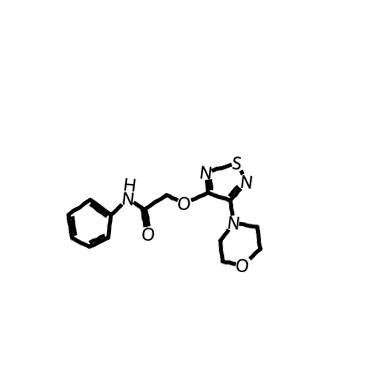 O=C(COc1nsnc1N1CCOCC1)Nc1ccccc1